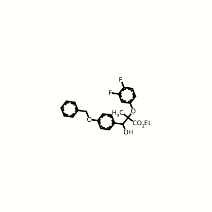 CCOC(=O)C(C)(Oc1ccc(F)c(F)c1)C(O)c1ccc(OCc2ccccc2)cc1